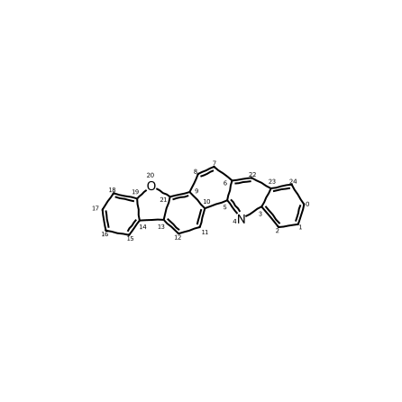 c1ccc2nc3c(ccc4c3ccc3c5ccccc5oc34)cc2c1